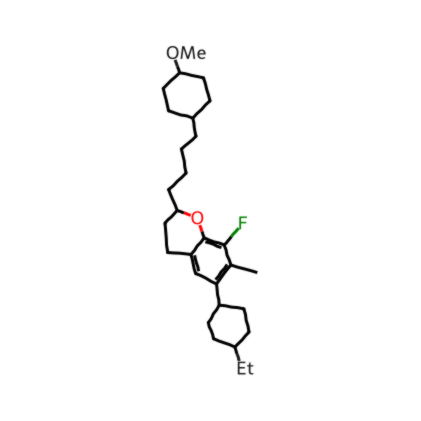 CCC1CCC(c2cc3c(c(F)c2C)OC(CCCCC2CCC(OC)CC2)CC3)CC1